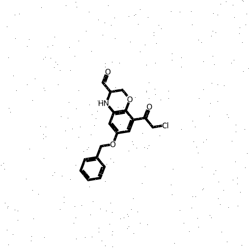 O=CC1COc2c(cc(OCc3ccccc3)cc2C(=O)CCl)N1